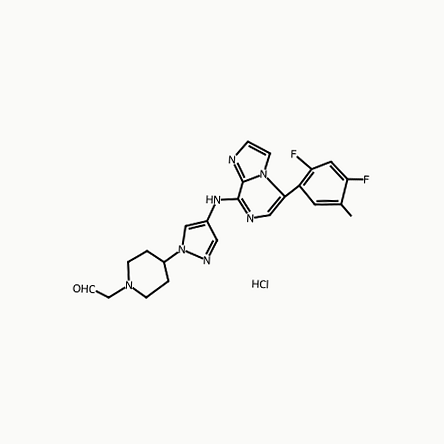 Cc1cc(-c2cnc(Nc3cnn(C4CCN(CC=O)CC4)c3)c3nccn23)c(F)cc1F.Cl